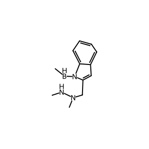 CBn1c(CN(C)NC)cc2ccccc21